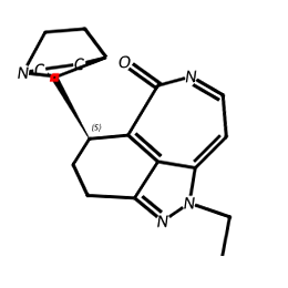 CCn1nc2c3c(c(=O)nccc31)[C@H](C1CN3CCC1CC3)CC2